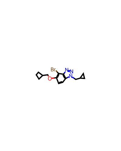 Brc1c(OCC2CCC2)ccc2c1nnn2CC1CC1